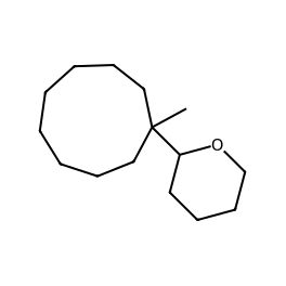 CC1(C2CCCCO2)CCCCCCCC1